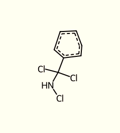 ClNC(Cl)(Cl)c1ccccc1